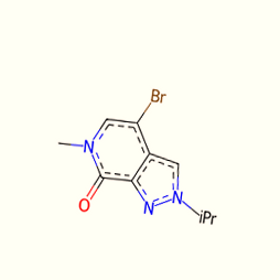 CC(C)n1cc2c(Br)cn(C)c(=O)c2n1